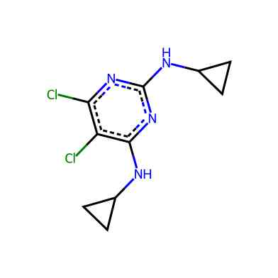 Clc1nc(NC2CC2)nc(NC2CC2)c1Cl